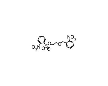 O=[N+]([O-])c1ccccc1COCCOS(=O)(=O)c1ccccc1[N+](=O)[O-]